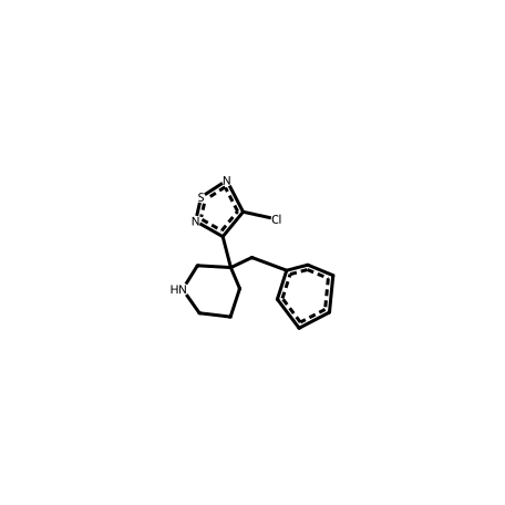 Clc1nsnc1C1(Cc2ccccc2)CCCNC1